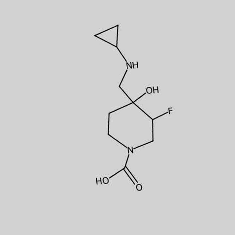 O=C(O)N1CCC(O)(CNC2CC2)C(F)C1